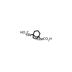 O=C(O)NC12CCCC(NC(=O)O)(CC1)C2